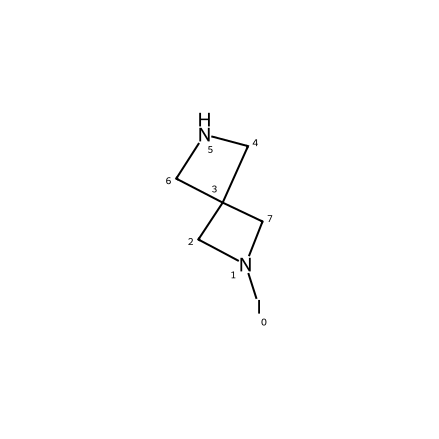 IN1CC2(CNC2)C1